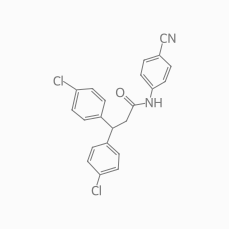 N#Cc1ccc(NC(=O)CC(c2ccc(Cl)cc2)c2ccc(Cl)cc2)cc1